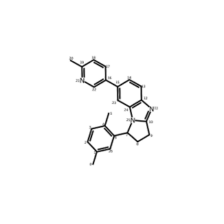 Cc1ccc(C)c(C2CCc3nc4ccc(-c5ccc(C)nc5)cc4n32)c1